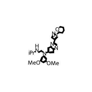 COc1cc(OC)cc(N(CCNC(C)C)c2ccc3ncc(-c4cnn(C5CCCCO5)c4)nc3c2)c1